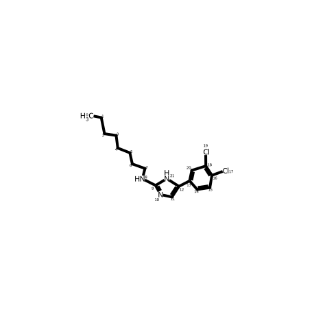 CCCCCCCCNc1ncc(-c2ccc(Cl)c(Cl)c2)[nH]1